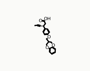 CC#C[C@@H](CC(=O)O)c1ccc(OCC2COc3ccccc3OC2)cc1